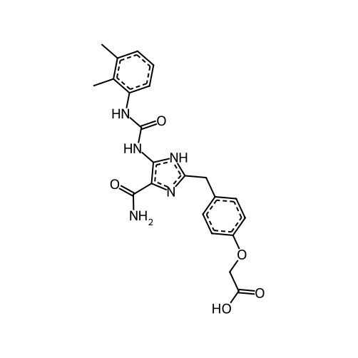 Cc1cccc(NC(=O)Nc2[nH]c(Cc3ccc(OCC(=O)O)cc3)nc2C(N)=O)c1C